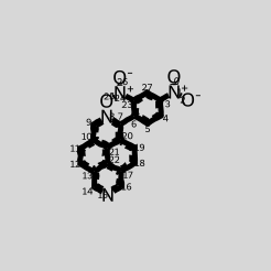 O=[N+]([O-])c1ccc(-c2ncc3ccc4cncc5ccc2c3c45)c([N+](=O)[O-])c1